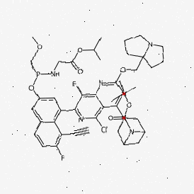 C#Cc1c(F)ccc2cc(OP(COC)NCC(=O)OC(C)C)cc(-c3nc(Cl)c4c(N5CC6CC(C5)N6C(=O)OC(C)(C)C)nc(OCC56CCCN5CCC6)nc4c3F)c12